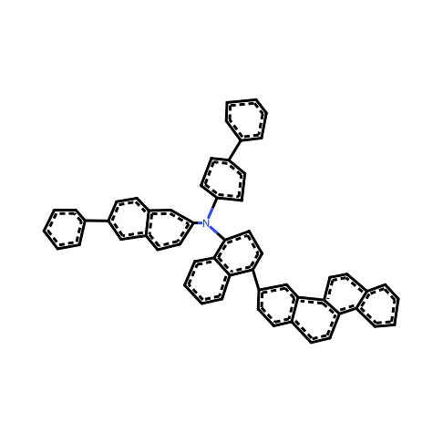 c1ccc(-c2ccc(N(c3ccc4cc(-c5ccccc5)ccc4c3)c3ccc(-c4ccc5ccc6c7ccccc7ccc6c5c4)c4ccccc34)cc2)cc1